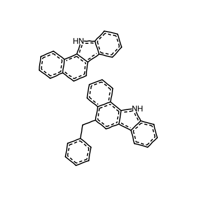 c1ccc(Cc2cc3c4ccccc4[nH]c3c3ccccc23)cc1.c1ccc2c(c1)ccc1c3ccccc3[nH]c21